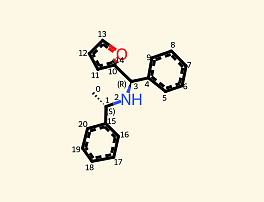 C[C@H](N[C@H](c1ccccc1)c1ccco1)c1ccccc1